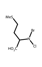 CSCCC(C(=O)O)N(Cl)Br